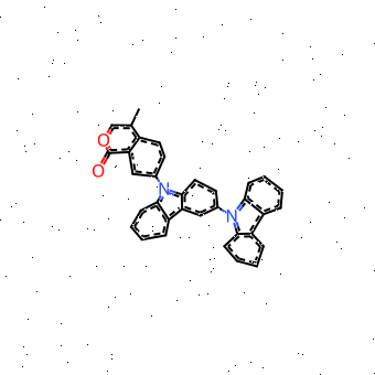 Cc1coc(=O)c2cc(-n3c4ccccc4c4cc(-n5c6ccccc6c6ccccc65)ccc43)ccc12